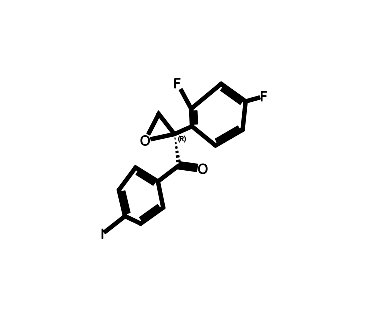 O=C(c1ccc(I)cc1)[C@@]1(c2ccc(F)cc2F)CO1